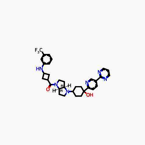 O=C(C1CC(Nc2cccc(C(F)(F)F)c2)C1)N1CC[C@@H]2[C@H]1CCN2C1CCC(O)(c2ccc(-c3ncccn3)cn2)CC1